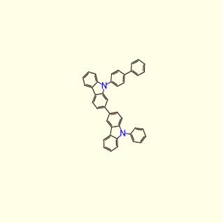 c1ccc(-c2ccc(-n3c4ccccc4c4ccc(-c5ccc6c(c5)c5ccccc5n6-c5ccccc5)cc43)cc2)cc1